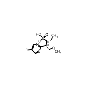 CC[C@H]([C@H](COC)c1ncc(F)cn1)S(=O)(=O)O